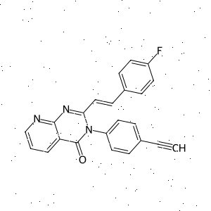 C#Cc1ccc(-n2c(/C=C/c3ccc(F)cc3)nc3ncccc3c2=O)cc1